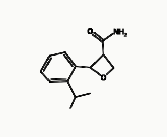 CC(C)c1ccccc1C1OCC1C(N)=O